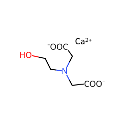 O=C([O-])CN(CCO)CC(=O)[O-].[Ca+2]